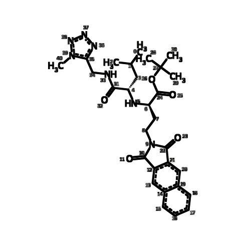 CC(C)C[C@H](N[C@H](CCN1C(=O)c2cc3ccccc3cc2C1=O)C(=O)OC(C)(C)C)C(=O)NCc1nnnn1C